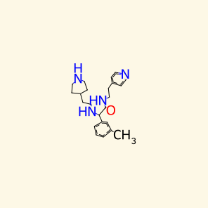 Cc1cccc(C(NCCC2CCNCC2)C(=O)NCCc2ccncc2)c1